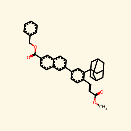 COC(=O)C=Cc1ccc(-c2ccc3cc(C(=O)OCc4ccccc4)ccc3c2)cc1C12CC3CC(CC(C3)C1)C2